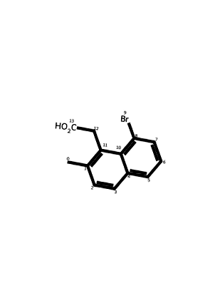 Cc1ccc2cccc(Br)c2c1CC(=O)O